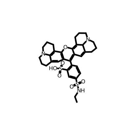 CCNS(=O)(=O)c1ccc(C2=C3C=C4CCCN5CCCC(=C3Oc3c2cc2c6c3CCCN6CCC2)C45)c(S(=O)(=O)O)c1